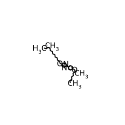 CCCCCC[C@@H](C)Oc1ccc(-c2ncc(OCCCCCCCCC[C@@H](C)CC)cn2)cc1